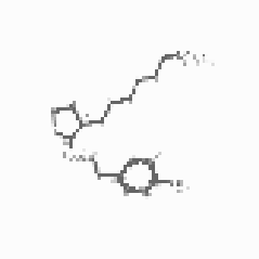 CCOC(=O)CCCCCCC1CCCC1NCCc1ccc(O)cc1